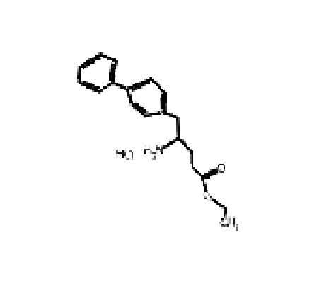 CCOC(=O)CCC(N)Cc1ccc(-c2ccccc2)cc1.Cl